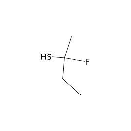 CCC(C)(F)S